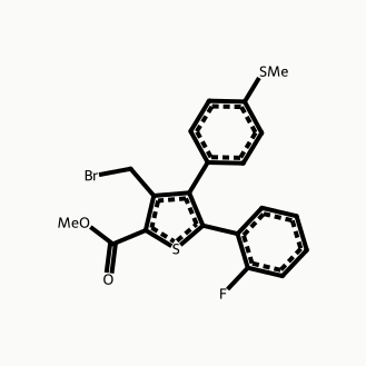 COC(=O)c1sc(-c2ccccc2F)c(-c2ccc(SC)cc2)c1CBr